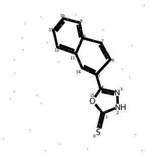 S=c1[nH]nc(-c2ccc3ccccc3c2)o1